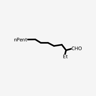 CCCCCCCCCCC(C=O)CC